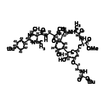 COC(=O)[C@@H]1Cc2cc(OCCNC(=O)OC(C)(C)C)c(O)c(c2)-c2cc(ccc2O)[C@H](N(C)C(=O)CNC(=O)c2c(C)nc(-c3ccc(C(C)(C)C)cc3)nc2C)C(=O)N[C@@H](C)C(=O)N1